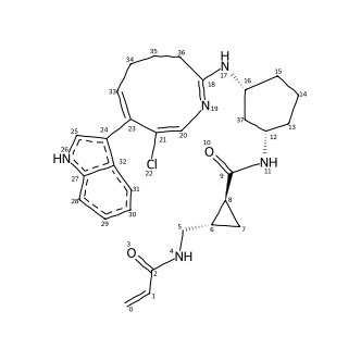 C=CC(=O)NC[C@H]1C[C@@H]1C(=O)N[C@H]1CCC[C@@H](N/C2=N/C=C(Cl)\C(c3c[nH]c4ccccc34)=C/CCC2)C1